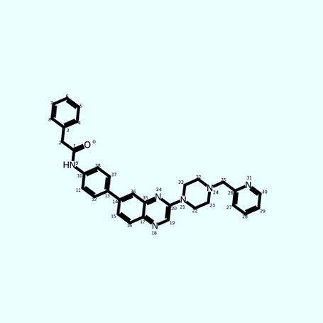 O=C(Cc1ccccc1)Nc1ccc(-c2ccc3ncc(N4CCN(Cc5ccccn5)CC4)nc3c2)cc1